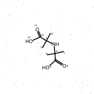 CC(C)(NC(C)(C)C(=O)O)C(=O)O